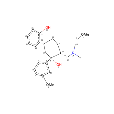 COC.COc1cccc([C@@]2(O)CCCC[C@@H]2CN(C)C)c1.Oc1ccccc1